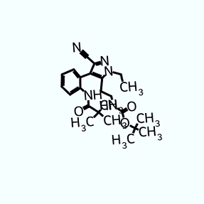 CCn1nc(C#N)c(-c2ccccc2NC(=O)C(C)(C)C)c1CCNC(=O)OC(C)(C)C